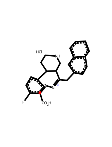 Cl.O=C(O)CO/N=C(/Cc1ccc2ccccc2c1)C1CNCCC1c1ccc(F)cc1